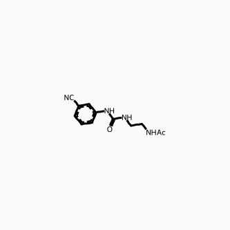 CC(=O)NCCNC(=O)Nc1cccc(C#N)c1